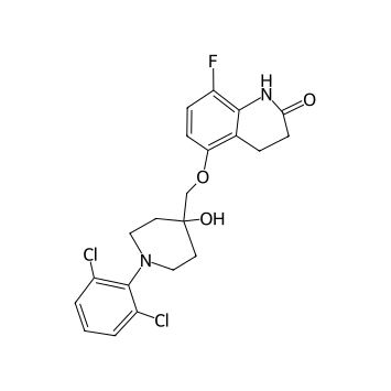 O=C1CCc2c(OCC3(O)CCN(c4c(Cl)cccc4Cl)CC3)ccc(F)c2N1